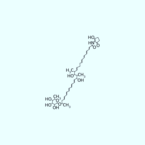 CC(C/C=C/C=C/C=C/C=C/C=C/C(O)C(C)C(O)C(C)/C=C/CC/C=C/C=C/C=C/C=C/C(=O)NC1=C(O)CCC1=O)OC1OC(C)C(O)C(O)C1O